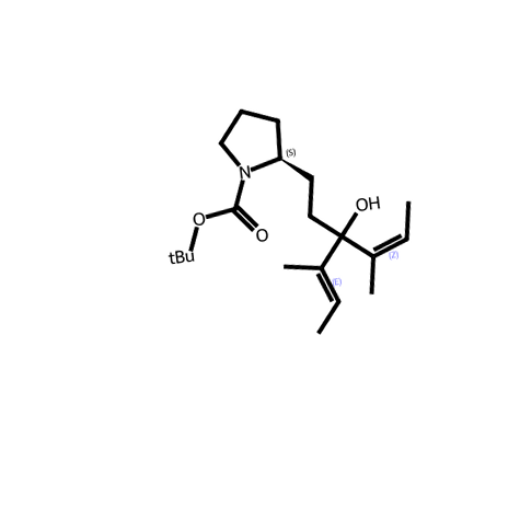 C/C=C(/C)C(O)(CC[C@@H]1CCCN1C(=O)OC(C)(C)C)/C(C)=C/C